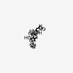 O=C(Cc1csc(=O)[nH]1)NC1C(=O)N2C(C(=O)O)=C(CSc3nncs3)CS[C@@H]12